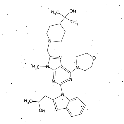 C[C@H](O)Cc1nc2ccccc2n1-c1nc(N2CCOCC2)c2nc(CN3CCC(C(C)(C)O)CC3)n(C)c2n1